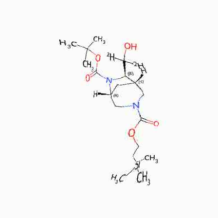 [2H]C([2H])(O)[C@H]1[C@H]2C[C@H](CN(C(=O)OCC[Si](C)(C)C)C2)N1C(=O)OC(C)(C)C